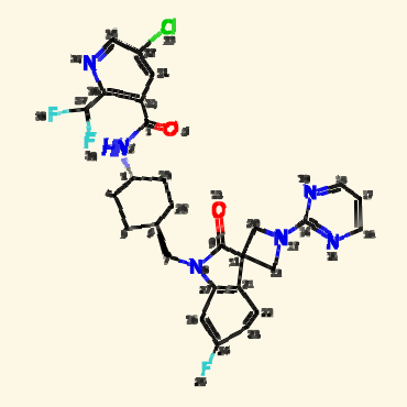 O=C(N[C@H]1CC[C@H](CN2C(=O)C3(CN(c4ncccn4)C3)c3ccc(F)cc32)CC1)c1cc(Cl)cnc1C(F)F